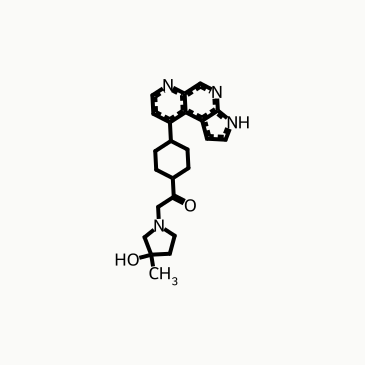 CC1(O)CCN(CC(=O)C2CCC(c3ccnc4cnc5[nH]ccc5c34)CC2)C1